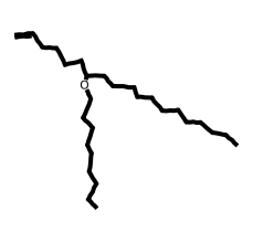 C=CCCCCC(CCCCCCCCCCCC)OCCCCCCCCC